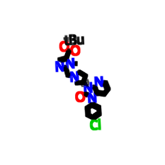 Cn1c(C(=O)OC(C)(C)C)cnc1CN1CC[C@H](n2c(=O)n(-c3ccc(Cl)cc3)c3cccnc32)C1